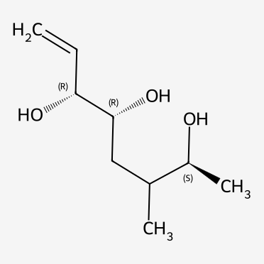 C=C[C@@H](O)[C@H](O)CC(C)[C@H](C)O